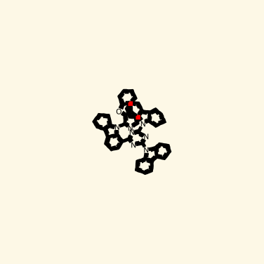 c1ccc2c(c1)oc1c(-n3c4ccccc4c4cccc(-c5nc(-n6c7ccccc7c7ccccc76)nc(-n6c7ccccc7c7ccccc76)n5)c43)nccc12